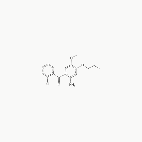 CCCOc1cc(N)c(C(=O)c2ccccc2Cl)cc1OC